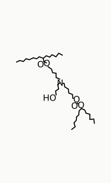 CCCCCCCCC(CCCCCC)C(=O)OCCCCCCN(CCCCO)CCCCCCOC(=O)OC(CCCCCC)CCCCCCC